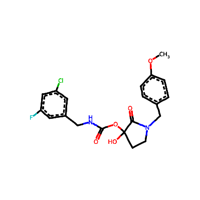 COc1ccc(CN2CCC(O)(OC(=O)NCc3cc(F)cc(Cl)c3)C2=O)cc1